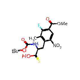 COC(=O)c1cc([N+](=O)[O-])c(CC(NC(=O)OC(C)(C)C)C(O)=S)c(C)c1F